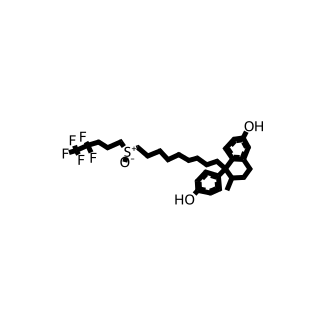 CC1CCc2cc(O)ccc2C1(CCCCCCCCC[S+]([O-])CCCC(F)(F)C(F)(F)F)c1ccc(O)cc1